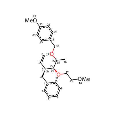 C=C[C@H](Cc1ccccc1)[C@H](OCCOC)[C@H](C)OCc1ccc(OC)cc1